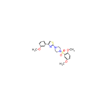 COc1cccc(-c2csc(N3CCN(S(=O)(=O)c4cc(OC)ccc4OC)CC3)n2)c1